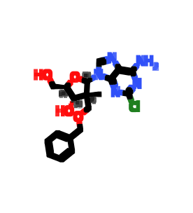 C[C@@]1(COCc2ccccc2)[C@H](O)[C@@H](CO)O[C@H]1n1cnc2c(N)nc(Cl)nc21